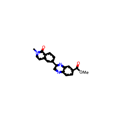 COC(=O)c1ccc2ncc(-c3ccc4c(=O)n(C)ccc4c3)nc2c1